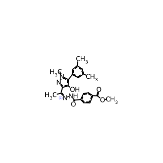 COC(=O)c1ccc(C(=O)N/N=C(/C)c2nn(C)c(-c3cc(C)cc(C)c3)c2O)cc1